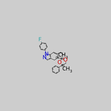 C[C@]12Cc3cnn(-c4ccc(F)cc4)c3C=C1CC[C@@]21OC[C@@](C)(c2ccccc2)O1